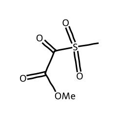 COC(=O)C(=O)S(C)(=O)=O